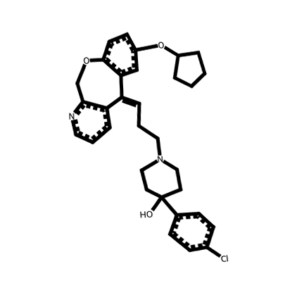 OC1(c2ccc(Cl)cc2)CCN(CCC=C2c3cc(OC4CCCC4)ccc3OCc3ncccc32)CC1